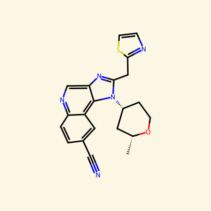 C[C@@H]1C[C@H](n2c(Cc3nccs3)nc3cnc4ccc(C#N)cc4c32)CCO1